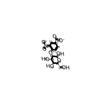 O=[N+]([O-])c1ccc(O[C@@H]2[C@@H](O)[C@H](O)[C@@H](CO)O[C@H]2O)c([N+](=O)[O-])c1